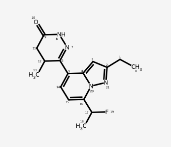 CCc1cc2c(C3=NNC(=O)CC3C)ccc(C(C)F)n2n1